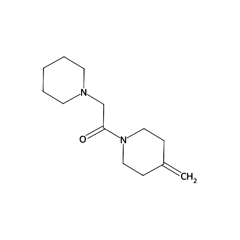 C=C1CCN(C(=O)CN2CCCCC2)CC1